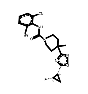 CC(C)c1cccc(C#N)c1NC(=O)N1CCC(C)(c2noc([C@@H]3C[C@@H]3F)n2)CC1